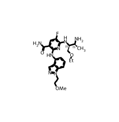 CCOC[C@@H](Nc1nc(Nc2cccc3c2cnn3CCOC)c(C(N)=O)cc1F)[C@H](C)N